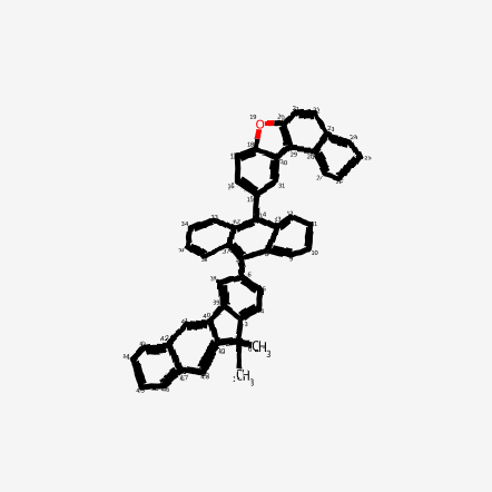 CC1(C)c2ccc(-c3c4ccccc4c(-c4ccc5oc6ccc7ccccc7c6c5c4)c4ccccc34)cc2-c2cc3ccccc3cc21